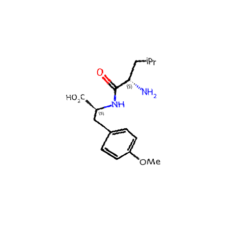 COc1ccc(C[C@H](NC(=O)[C@@H](N)CC(C)C)C(=O)O)cc1